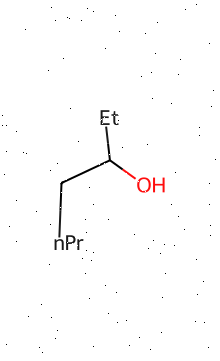 [CH2]CCCC(O)C[CH2]